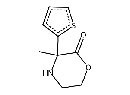 CC1(c2cccs2)NCCOC1=O